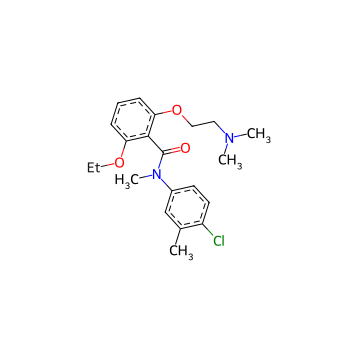 CCOc1cccc(OCCN(C)C)c1C(=O)N(C)c1ccc(Cl)c(C)c1